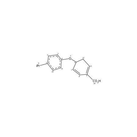 CC(C)c1ccc(OC2C=CC(C(=O)O)=CC2)cc1